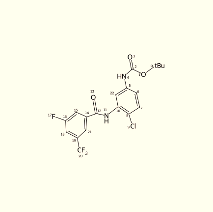 CC(C)(C)OC(=O)Nc1ccc(Cl)c(NC(=O)c2cc(F)cc(C(F)(F)F)c2)c1